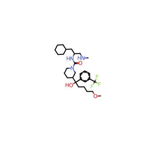 CNCC(CC1CCCCC1)NC(=O)N1CCCC(C(O)(CCCCOC)c2cccc(C(F)(F)F)c2)C1